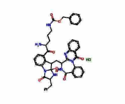 CC(C)CC1NC2(O)C(CC3NC(=O)c4ccccc4-n4c3nc3ccccc3c4=O)c3c(C(=O)C(N)CCCNC(=O)OCc4ccccc4)cccc3N2C1=O.Cl